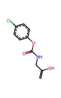 C=C(O)CNC(=O)Oc1ccc(Cl)cc1